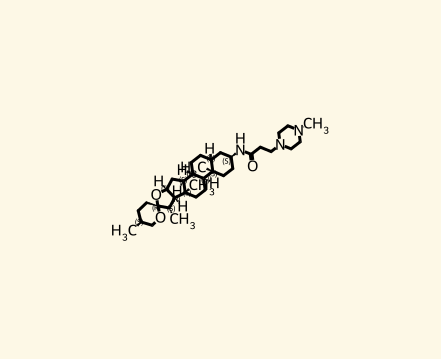 C[C@H]1CC[C@@]2(OC1)O[C@H]1C[C@H]3[C@@H]4CC[C@@H]5C[C@@H](NC(=O)CCN6CCN(C)CC6)CC[C@]5(C)[C@H]4CC[C@]3(C)[C@H]1[C@@H]2C